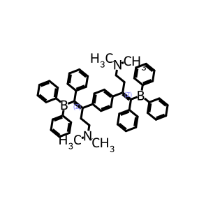 CN(C)CC/C(=C(\B(c1ccccc1)c1ccccc1)c1ccccc1)c1ccc(/C(CCN(C)C)=C(/B(c2ccccc2)c2ccccc2)c2ccccc2)cc1